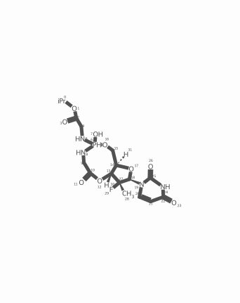 CC(C)OC(=O)CN[PH]1(O)NCC(=O)O[C@@H]2[C@@H](CO1)O[C@@H](n1ccc(=O)[nH]c1=O)[C@]2(C)F